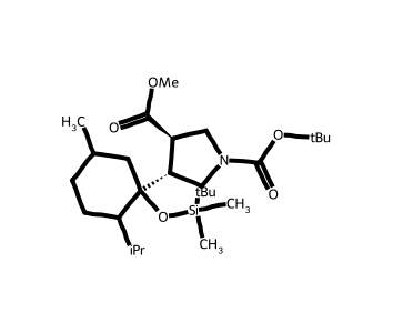 COC(=O)[C@H]1CN(C(=O)OC(C)(C)C)C[C@@H]1C1(O[Si](C)(C)C(C)(C)C)CC(C)CCC1C(C)C